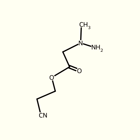 CN(N)CC(=O)OCCC#N